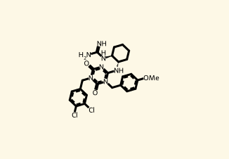 COc1ccc(Cn2c(N[C@H]3CCCC[C@@H]3NC(=N)N)nc(=O)n(Cc3ccc(Cl)c(Cl)c3)c2=O)cc1